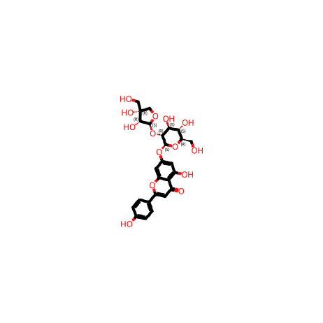 O=c1cc(-c2ccc(O)cc2)oc2cc(O[C@@H]3O[C@H](CO)[C@@H](O)[C@H](O)[C@H]3O[C@@H]3OC[C@](O)(CO)[C@H]3O)cc(O)c12